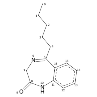 CCCCCC1=NCC(=O)Nc2ccccc21